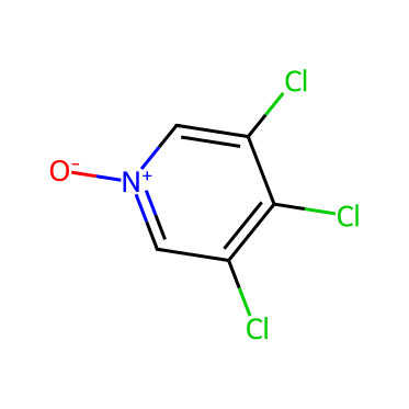 [O-][n+]1cc(Cl)c(Cl)c(Cl)c1